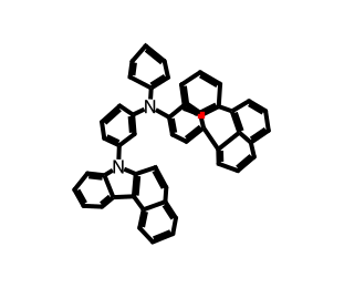 c1ccc(-c2cccc3cccc(-c4ccc(N(c5ccccc5)c5cccc(-n6c7ccccc7c7c8ccccc8ccc76)c5)cc4)c23)cc1